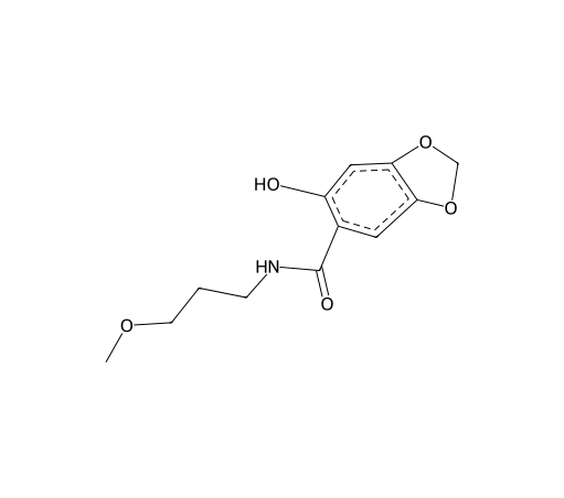 COCCCNC(=O)c1cc2c(cc1O)OCO2